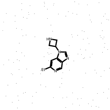 CCc1cc2c(cn1)ncn2C1CNC1